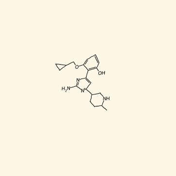 CC1CCC(c2cc(-c3c(O)cccc3OCC3CC3)nc(N)n2)CN1